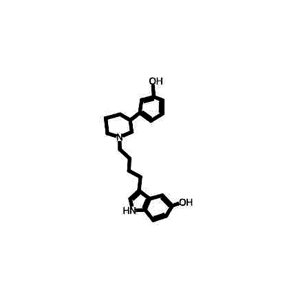 Oc1cccc(C2CCCN(CCCCc3c[nH]c4ccc(O)cc34)C2)c1